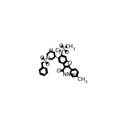 CNC(=O)c1c(-c2ccc(C)cc2)oc2cc(N(C)S(C)(=O)=O)c([C@H]3CCCN(S(=O)(=O)Cc4ccccc4)C3)cc12